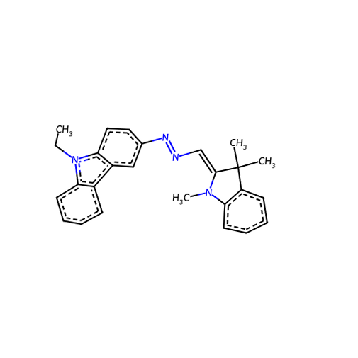 CCn1c2ccccc2c2cc(N=NC=C3N(C)c4ccccc4C3(C)C)ccc21